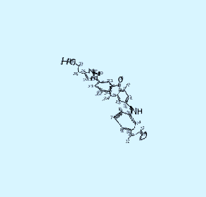 Cc1cc(Nc2cccc(C(C)C=O)c2)ccc1C(=O)c1cc(-n2cc(CCO)nn2)ccc1C